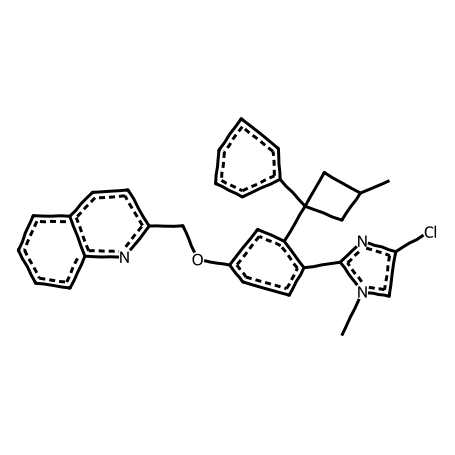 CC1CC(c2ccccc2)(c2cc(OCc3ccc4ccccc4n3)ccc2-c2nc(Cl)cn2C)C1